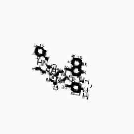 C=CCN(C(=O)NCc1ccccc1)N1CC(=O)N2[C@@H](Cc3ccc(O)c(N)c3)C(=O)N(Cc3cccc4ccccc34)C[C@@H]21